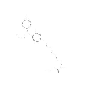 CNC(c1ccc(Br)cc1)c1ccc(OCCCCCCN(C)C(=O)OC(C)(C)C)cc1F